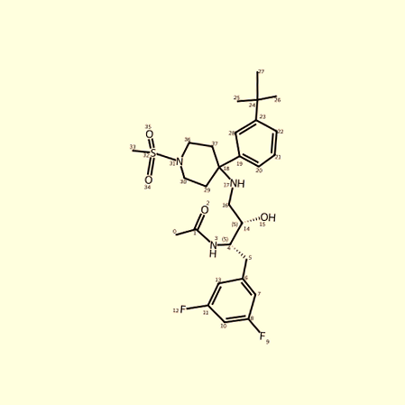 CC(=O)N[C@@H](Cc1cc(F)cc(F)c1)[C@@H](O)CNC1(c2cccc(C(C)(C)C)c2)CCN(S(C)(=O)=O)CC1